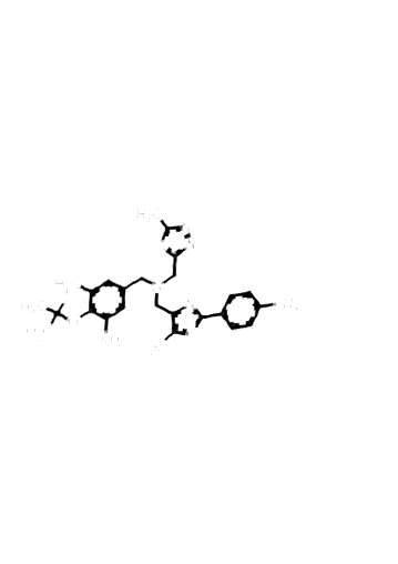 CCOC(=O)C(C)(C)Oc1c(C)cc(CN(Cc2nnc(C)o2)Cc2nc(-c3ccc(C)cc3)oc2C)cc1C